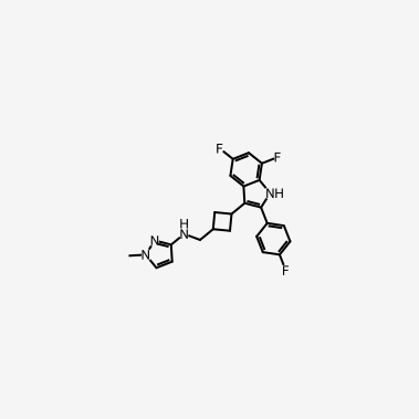 Cn1ccc(NCC2CC(c3c(-c4ccc(F)cc4)[nH]c4c(F)cc(F)cc34)C2)n1